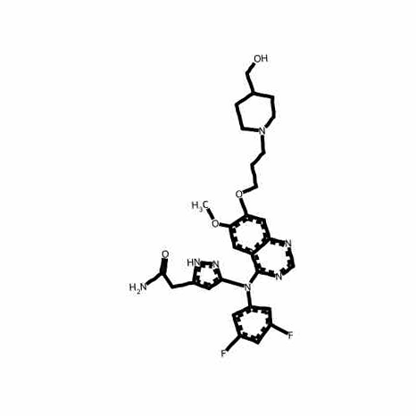 COc1cc2c(N(c3cc(F)cc(F)c3)c3cc(CC(N)=O)[nH]n3)ncnc2cc1OCCCN1CCC(CO)CC1